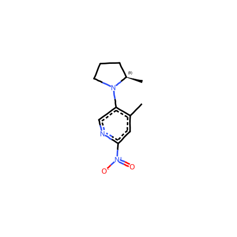 Cc1cc([N+](=O)[O-])ncc1N1CCC[C@H]1C